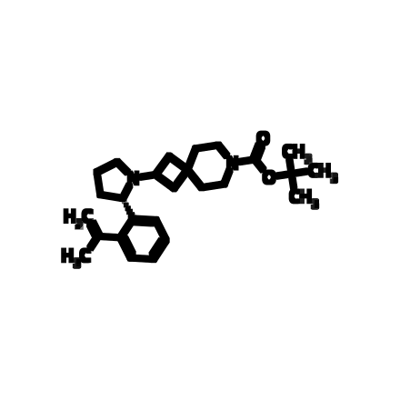 C=C(C)c1ccccc1[C@@H]1CCCN1C1CC2(CCN(C(=O)OC(C)(C)C)CC2)C1